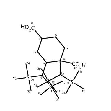 C[Si](C)(C)C(C1CC(C(=O)O)CCC1(C(=O)O)C([Si](C)(C)C)[Si](C)(C)C)[Si](C)(C)C